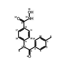 Cc1ccc(C(=O)N(C)c2ccc(C(=O)NO)cc2)cc1